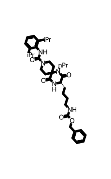 CCCN1C(=O)[C@H](CCCCNC(=O)OCc2ccccc2)NC(=O)C12CCN(C(=O)Nc1c(C(C)C)cccc1C(C)C)CC2